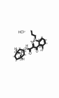 CCCn1nc(C(=O)N[C@H]2C[C@H]3CC[C@@H](C2)N3C)c(=O)c2c(F)cccc21.Cl